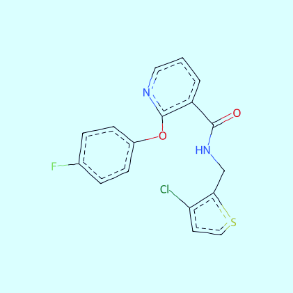 O=C(NCc1sccc1Cl)c1cccnc1Oc1ccc(F)cc1